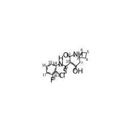 O=C1NC2(CCC2)CC(O)=C1C(=S)Nc1cccc(F)c1Cl